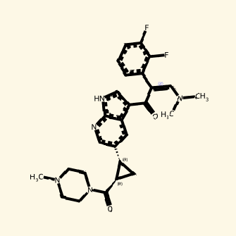 CN(C)/C=C(\C(=O)c1c[nH]c2ncc([C@@H]3C[C@H]3C(=O)N3CCN(C)CC3)cc12)c1cccc(F)c1F